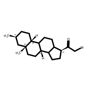 C[C@H]1CC[C@@H]2C3CCC4C(CC[C@@H]4C(=O)CBr)[C@@H]3CC[C@]2(C)C1